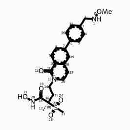 CONCc1ccc(-c2ccc3c(=O)n(CC[C@](C)(C(=O)NO)S(C)(=O)=O)ccc3c2)cc1